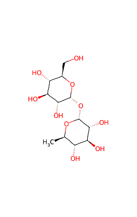 C[C@H]1O[C@H](O[C@H]2O[C@H](CO)[C@@H](O)[C@H](O)[C@H]2O)[C@H](O)[C@@H](O)[C@@H]1O